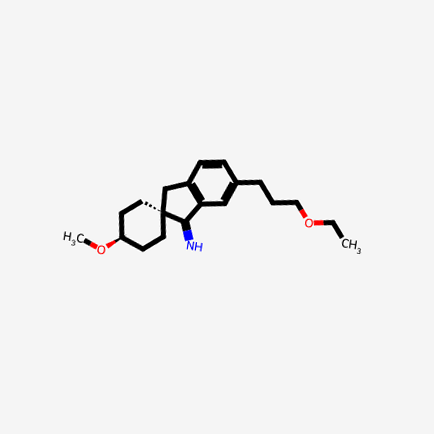 CCOCCCc1ccc2c(c1)C(=N)[C@]1(CC[C@H](OC)CC1)C2